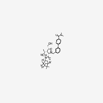 C[C@@H]1[C@@H](NC(=O)[C@@H]2[C@H]([C@H](C)O)[C@H](CO)ON2Cc2cccc(-c3ccc(C(=O)N(C)C)cc3)c2)C[C@H]2C[C@@H]1C2(C)C